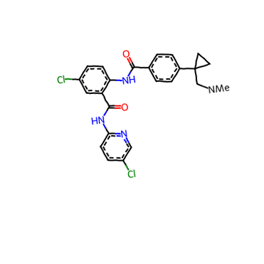 CNCC1(c2ccc(C(=O)Nc3ccc(Cl)cc3C(=O)Nc3ccc(Cl)cn3)cc2)CC1